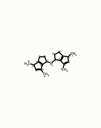 CC1=CC(C)C2=C1[CH]([Zr][CH]1CCC3=C1C(C)=CC3C)CC2